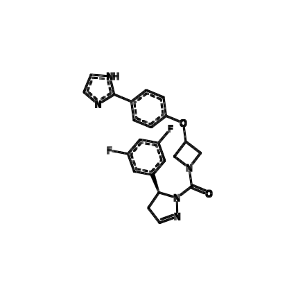 O=C(N1CC(Oc2ccc(-c3ncc[nH]3)cc2)C1)N1N=CC[C@H]1c1cc(F)cc(F)c1